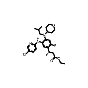 CCOC(=O)C[C@@H](C)c1cc(Nc2ccc(Cl)cn2)c(N(CC(C)C)C2CCOCC2)cc1F